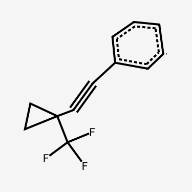 FC(F)(F)C1(C#Cc2c[c]ccc2)CC1